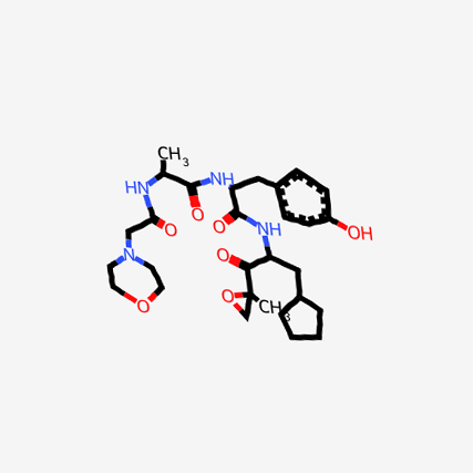 CC(NC(=O)CN1CCOCC1)C(=O)NC(Cc1ccc(O)cc1)C(=O)NC(CC1CCCC1)C(=O)C1(C)CO1